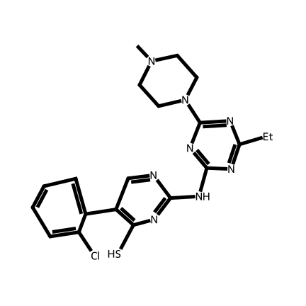 CCc1nc(Nc2ncc(-c3ccccc3Cl)c(S)n2)nc(N2CCN(C)CC2)n1